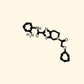 Nc1ccccc1NC(=O)c1nc2c(s1)CN(C(=O)COc1ccccc1)CC2